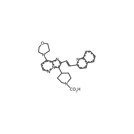 O=C(O)N1CCC(c2c(C=Cc3ccc4ccccc4n3)nc3c(N4CCOCC4)ccnn23)CC1